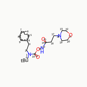 CC(C)(C)N(CCc1ccccc1)C(=O)ONC(=O)CCN1CCOCC1